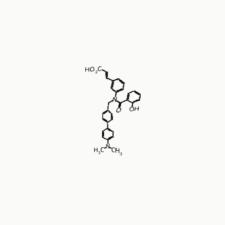 CN(C)c1ccc(-c2ccc(CN(C(=O)c3ccccc3O)c3cccc(/C=C/C(=O)O)c3)cc2)cc1